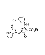 CCOC(=O)C1=C(Nc2cccc(Cl)c2)O/C(=C\c2c[nH]c3ncccc23)C1=O